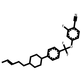 CC=CCCC1CCC(c2ccc(C(F)(F)Oc3ccc(C#N)c(F)c3)cc2)CC1